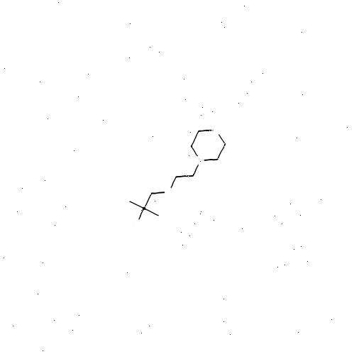 CC(C)(S)COCCN1CCOCC1